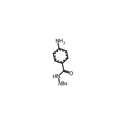 CCCCNC(=O)c1ccc(N)cc1